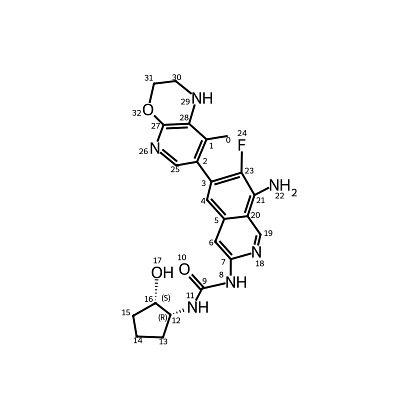 Cc1c(-c2cc3cc(NC(=O)N[C@@H]4CCC[C@@H]4O)ncc3c(N)c2F)cnc2c1NCCO2